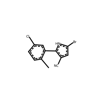 Cc1ccc(Cl)cc1-c1[nH]c(Br)cc1C#N